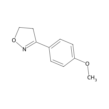 COc1ccc(C2=NOCC2)cc1